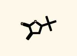 C=C1CC(C(C)(C)C)OC1=O